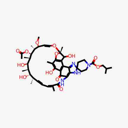 CO[C@H]1/C=C/O[C@@]2(C)Oc3c(C)c(O)c4c(c3C2O)C2=NC3(CCN(C(=O)OCC(C)C)CC3)NC2=C(NC(=O)/C(C)=C\C=C\[C@H](C)[C@H](O)[C@@H](C)[C@@H](O)[C@@H](C)[C@H](OC(C)=O)[C@@H]1C)C4=O